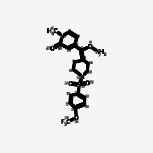 Cn1ccc(C(ON)=C2CCN(S(=O)(=O)c3ccc(OC(F)(F)F)cc3)CC2)cc1=O